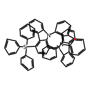 c1ccc(-n2c3ccccc3c3cccc(-n4c5ccccc5c5c([Si](c6ccccc6)(c6ccccc6)c6ccccc6)ccc(-n6c7ccccc7c7ccccc76)c54)c32)cc1